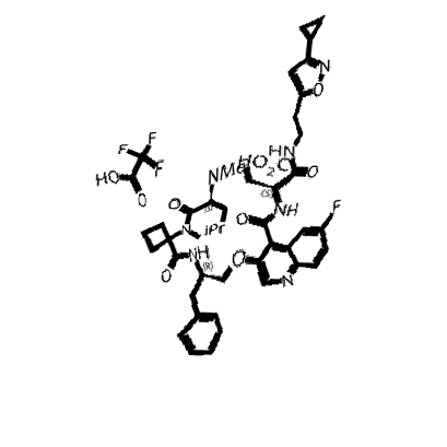 CN[C@@H](CC(C)C)C(=O)N(C)C1(C(=O)N[C@@H](COc2cnc3ccc(F)cc3c2C(=O)N[C@@H](CC(=O)O)C(=O)NCCc2cc(C3CC3)no2)Cc2ccccc2)CCC1.O=C(O)C(F)(F)F